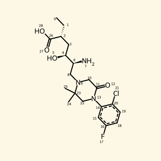 CC[C@H](C[C@H](O)[C@@H](N)CN1CC(=O)N(c2cc(F)ccc2Cl)CC1(C)C)C(=O)O